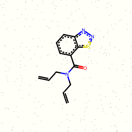 C=CCN(CC=C)C(=O)c1cccc2nnsc12